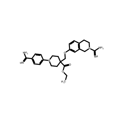 CCOC(=O)C1(COc2ccc3c(c2)CN(C(=N)N)CC3)CCN(c2ccc(C(=N)N)cc2)CC1